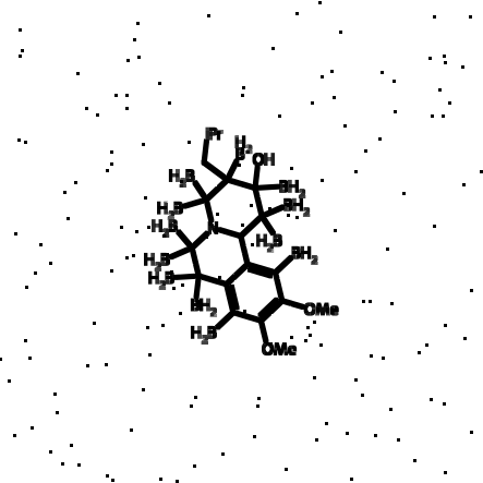 Bc1c(OC)c(OC)c(B)c2c1C1N(C(B)(B)C2(B)B)C(B)(B)C(B)(CC(C)C)C(B)(O)C1(B)B